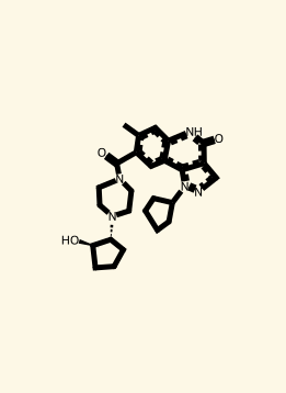 Cc1cc2[nH]c(=O)c3cnn(C4CCCC4)c3c2cc1C(=O)N1CCN([C@@H]2CCC[C@H]2O)CC1